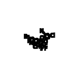 COc1nnc(Br)cc1Cn1cnc(C(F)(F)F)c(Oc2cc(Cl)cc(C#N)c2)c1=O